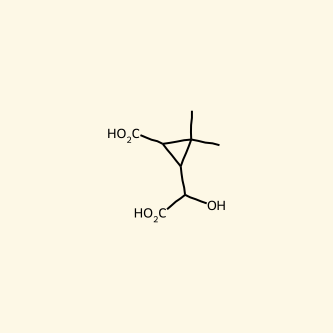 CC1(C)C(C(=O)O)C1C(O)C(=O)O